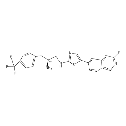 N[C@H](CNc1ncc(-c2ccc3cnc(F)cc3c2)s1)Cc1ccc(C(F)(F)F)cc1